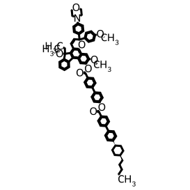 CCCCC[C@H]1CC[C@H](c2ccc(-c3ccc(C(=O)Oc4ccc(-c5ccc(C(=O)Oc6cc7c8c(c9c(c7cc6OC)OC(c6ccc(OC)cc6)(c6ccc(N7CCOCC7)cc6)C=C9)C(CC)(OC)c6ccccc6-8)cc5)cc4)cc3)cc2)CC1